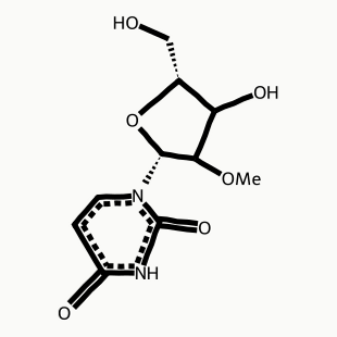 COC1C(O)[C@@H](CO)O[C@H]1n1ccc(=O)[nH]c1=O